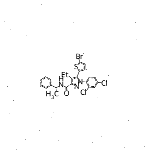 CCc1c(C(=O)N[C@H](C)c2ccccc2)nn(-c2ccc(Cl)cc2Cl)c1-c1ccc(Br)s1